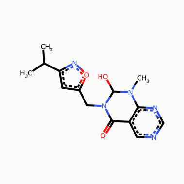 CC(C)c1cc(CN2C(=O)c3cncnc3N(C)C2O)on1